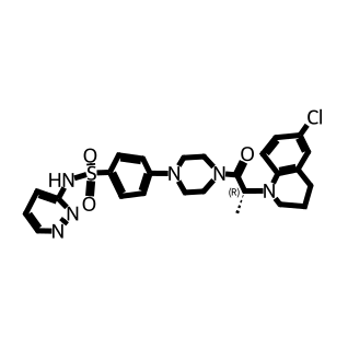 C[C@H](C(=O)N1CCN(c2ccc(S(=O)(=O)Nc3cccnn3)cc2)CC1)N1CCCc2cc(Cl)ccc21